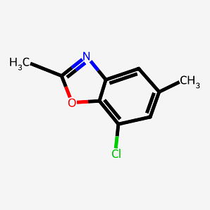 Cc1cc(Cl)c2oc(C)nc2c1